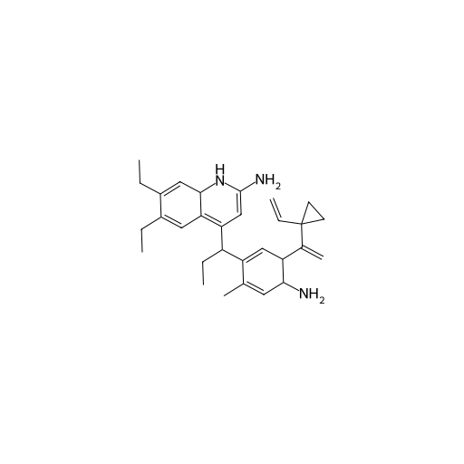 C=CC1(C(=C)C2C=C(C(CC)C3=C4C=C(CC)C(CC)=CC4NC(N)=C3)C(C)=CC2N)CC1